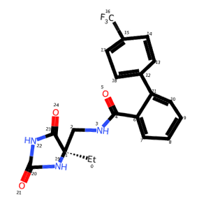 CC[C@]1(CNC(=O)c2ccccc2-c2ccc(C(F)(F)F)cc2)NC(=O)NC1=O